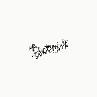 CC(C)C(NC(=O)CC1CC(F)(F)C1)c1cnn2cc([C@@H](N)C3CCC(F)(F)CC3)nc2c1